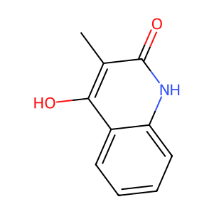 Cc1c(O)c2ccccc2[nH]c1=O